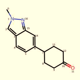 Cn1cc2ccc(C3CCC(=O)CC3)cc2n1